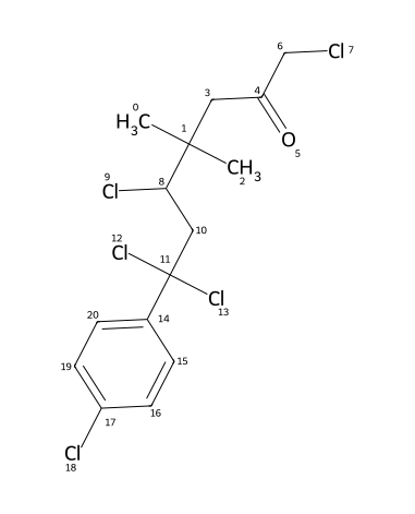 CC(C)(CC(=O)CCl)C(Cl)CC(Cl)(Cl)c1ccc(Cl)cc1